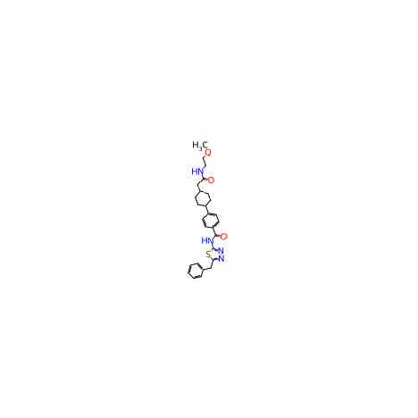 COCCNC(=O)CC1CCC(c2ccc(C(=O)Nc3nnc(Cc4ccccc4)s3)cc2)CC1